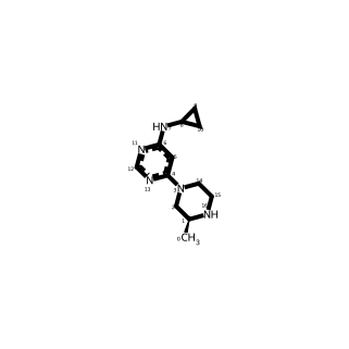 C[C@H]1CN(c2cc(NC3CC3)ncn2)CCN1